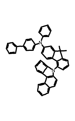 CC1(C)c2cc(N(c3ccccc3)c3ccc(-c4ccccc4)cc3)ccc2-c2c(-n3c4ccccc4c4c5ccccc5ccc43)cccc21